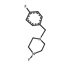 Fc1ccc(CN2CCN(F)CC2)cc1